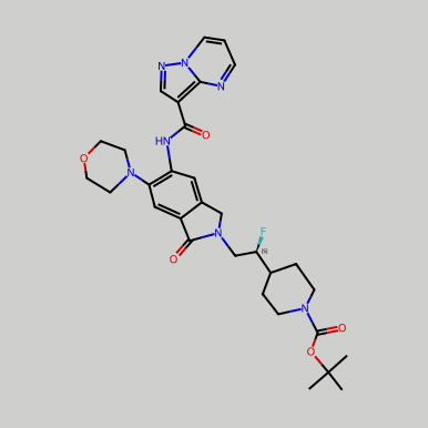 CC(C)(C)OC(=O)N1CCC([C@H](F)CN2Cc3cc(NC(=O)c4cnn5cccnc45)c(N4CCOCC4)cc3C2=O)CC1